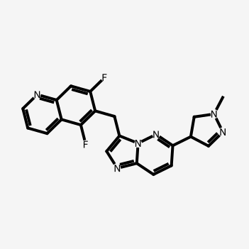 CN1CC(c2ccc3ncc(Cc4c(F)cc5ncccc5c4F)n3n2)C=N1